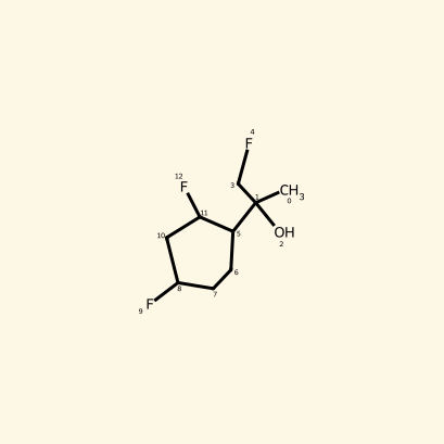 CC(O)(CF)C1CCC(F)CC1F